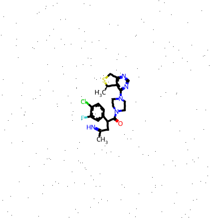 CC(=N)CC(C(=O)N1CCN(c2ncnc3c2[C@@H](C)SC3)CC1)c1ccc(Cl)c(F)c1